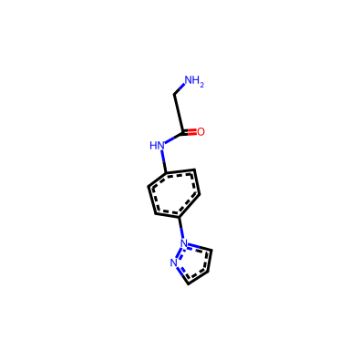 NCC(=O)Nc1ccc(-n2cccn2)cc1